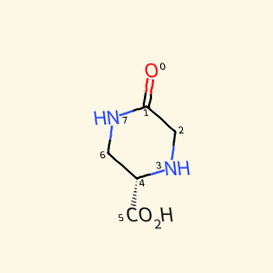 O=C1CN[C@H](C(=O)O)CN1